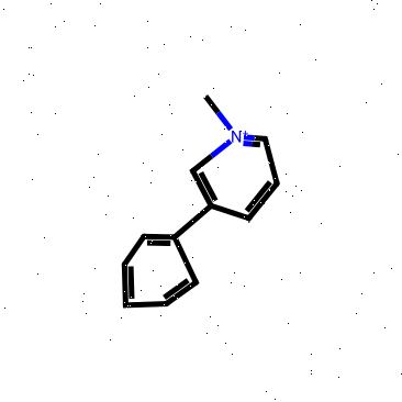 C[n+]1cc[c]c(-c2ccccc2)c1